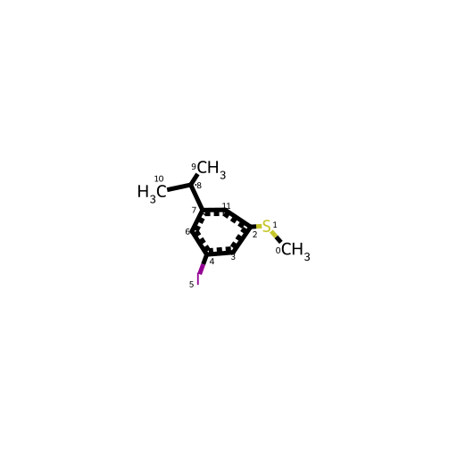 CSc1cc(I)cc([C](C)C)c1